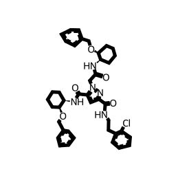 O=C(Cn1nc(C(=O)NCCc2ccccc2Cl)cc1C(=O)N[C@H]1CCCC[C@@H]1OCc1ccccc1)N[C@H]1CCCC[C@@H]1OCc1ccccc1